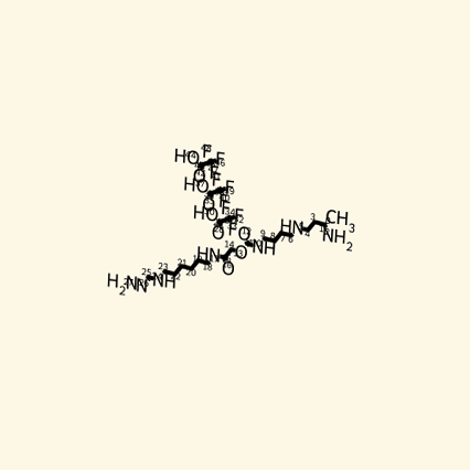 C[C@@H](N)CCNCCCCNC(=O)OCC(=O)NCCCCCCNC=NN.O=C(O)C(F)(F)F.O=C(O)C(F)(F)F.O=C(O)C(F)(F)F